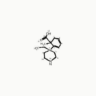 CC[N+]1(C2=CC=CCC2(C)C(=O)O)CCNCC1